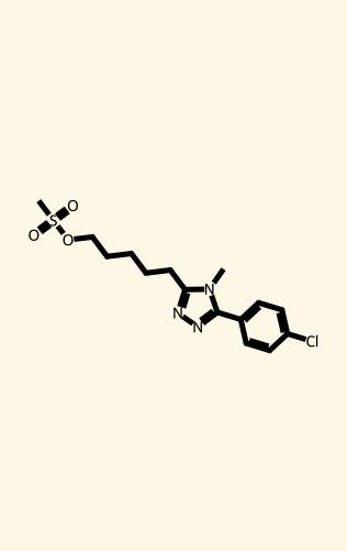 Cn1c(CCCCCOS(C)(=O)=O)nnc1-c1ccc(Cl)cc1